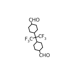 O=CC1CCC(C(C2CCC(C=O)CC2)(C(F)(F)F)C(F)(F)F)CC1